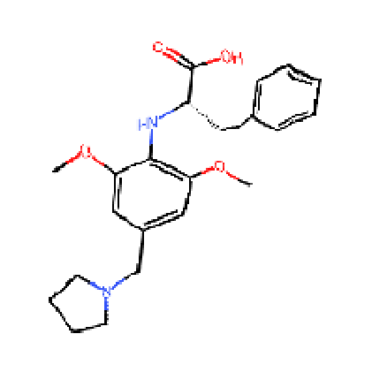 COc1cc(CN2CCCC2)cc(OC)c1N[C@@H](Cc1ccccc1)C(=O)O